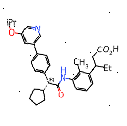 CCC(CC(=O)O)c1cccc(NC(=O)[C@@H](c2ccc(-c3cncc(OC(C)C)c3)cc2)C2CCCC2)c1C